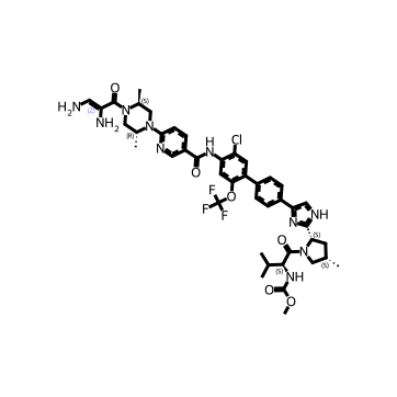 COC(=O)N[C@H](C(=O)N1C[C@@H](C)C[C@H]1c1nc(-c2ccc(-c3cc(Cl)c(NC(=O)c4ccc(N5C[C@H](C)N(C(=O)/C(N)=C/N)C[C@H]5C)nc4)cc3OC(F)(F)F)cc2)c[nH]1)C(C)C